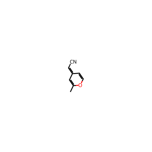 CC1=C/C(=C/C#N)C=CO1